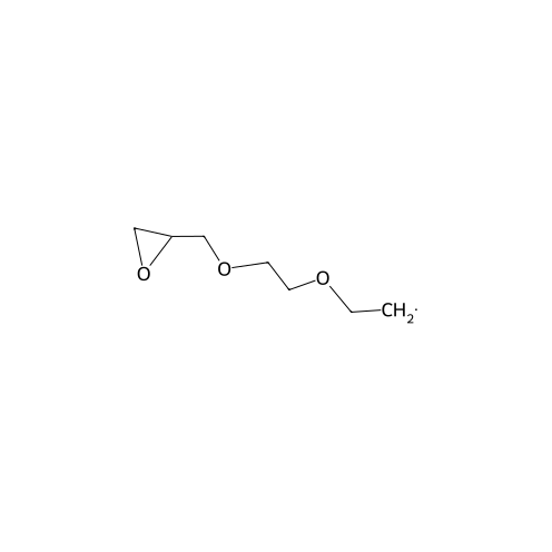 [CH2]COCCOCC1CO1